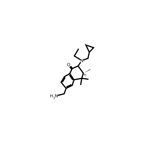 CCN(CC1CC1)C1C(=O)c2ccc(CN)cc2C(C)(C)[C@H]1C